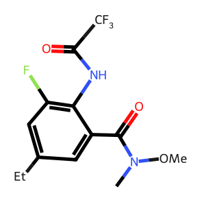 CCc1cc(F)c(NC(=O)C(F)(F)F)c(C(=O)N(C)OC)c1